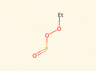 CCOOP=O